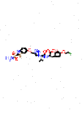 CC(C)[C@H](C(=O)N[C@@H](Cc1ccc(OCCF)cc1)C(=O)O)n1cc(COc2ccc3nc(S(N)(=O)=O)sc3c2)nn1